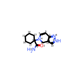 NC(=O)C1(N2C=Cc3n[nH]cc3C2)CCCCC1